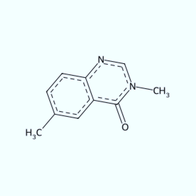 Cc1ccc2ncn(C)c(=O)c2c1